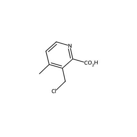 Cc1ccnc(C(=O)O)c1CCl